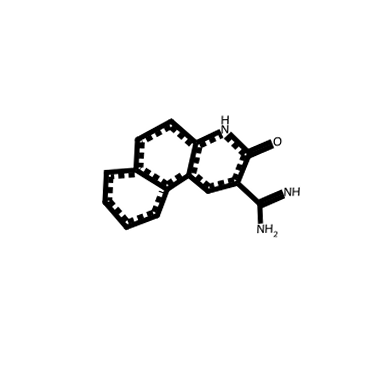 N=C(N)c1cc2c(ccc3ccccc32)[nH]c1=O